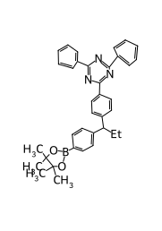 CCC(c1ccc(B2OC(C)(C)C(C)(C)O2)cc1)c1ccc(-c2nc(-c3ccccc3)nc(-c3ccccc3)n2)cc1